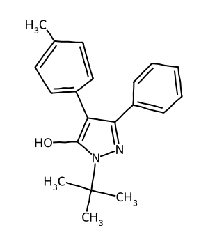 Cc1ccc(-c2c(-c3ccccc3)nn(C(C)(C)C)c2O)cc1